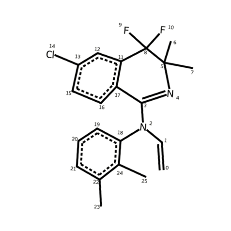 C=CN(C1=NC(C)(C)C(F)(F)c2cc(Cl)ccc21)c1cccc(C)c1C